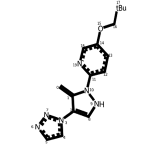 C=C1C(n2ccnn2)=CNN1c1ccc(OCC(C)(C)C)cn1